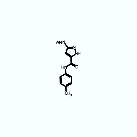 CNc1cc(C(=O)Nc2ccc(C)cc2)[nH]n1